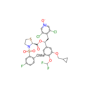 COc1ccc(F)cc1S(=O)(=O)N1CCS[C@H]1C(=O)O[C@@H](Cc1c(Cl)c[n+]([O-])cc1Cl)c1ccc(OC(F)F)c(OCC2CC2)c1